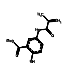 C=C(C)C(=O)Nc1ccc(O)c(C(=O)OC)c1